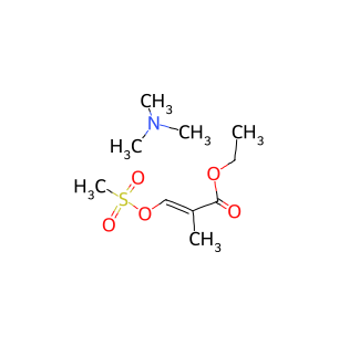 CCOC(=O)C(C)=COS(C)(=O)=O.CN(C)C